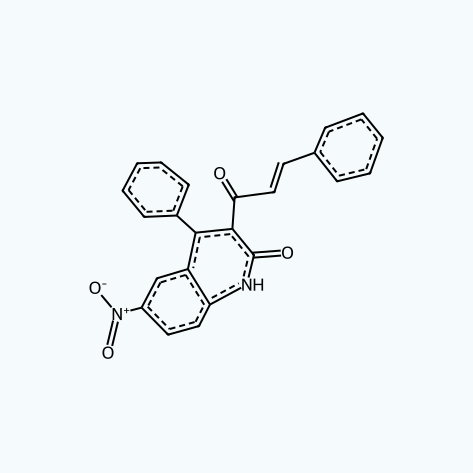 O=C(C=Cc1ccccc1)c1c(-c2ccccc2)c2cc([N+](=O)[O-])ccc2[nH]c1=O